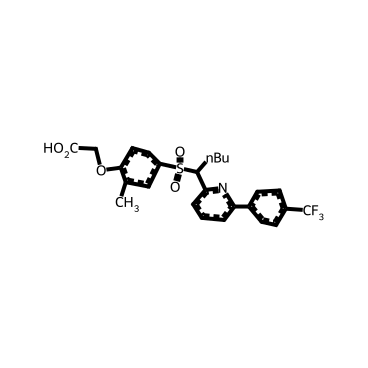 CCCCC(c1cccc(-c2ccc(C(F)(F)F)cc2)n1)S(=O)(=O)c1ccc(OCC(=O)O)c(C)c1